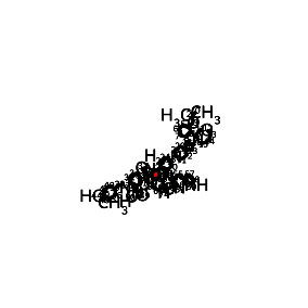 CC(C)Oc1ccccc1[C@@H]1COCCCN1C1CC2(CCN(c3ccc(C(=O)NS(=O)(=O)c4ccc(NCC5CCC(C)(O)CC5)c([N+](=O)[O-])c4)c(N4c5cc6cc[nH]c6nc5O[C@@H]5CCOC[C@H]54)c3)CC2)C1